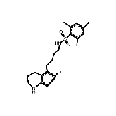 Cc1cc(C)c(S(=O)(=O)NCCCCc2c(Br)ccc3c2CCCN3)c(C)c1